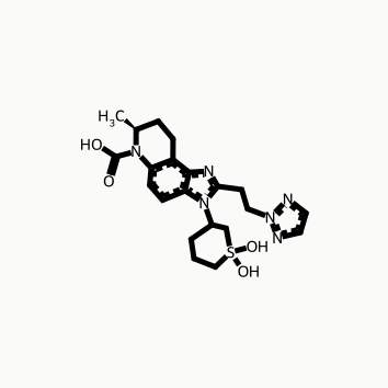 C[C@H]1CCc2c(ccc3c2nc(CCn2nccn2)n3C2CCCS(O)(O)C2)N1C(=O)O